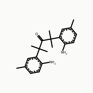 Cc1ccc(N)c(C(C)(C)C(=O)C(C)(C)c2cc(C)ccc2N)c1